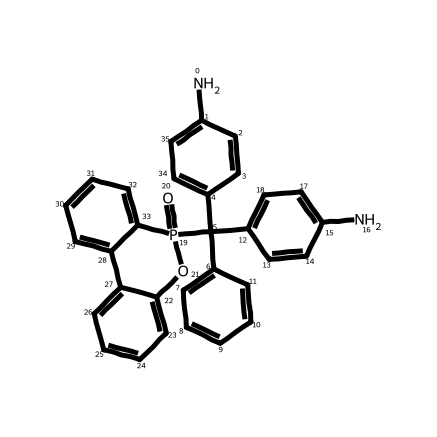 Nc1ccc(C(c2ccccc2)(c2ccc(N)cc2)P2(=O)Oc3ccccc3-c3ccccc32)cc1